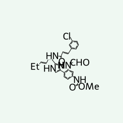 CC/C=C/C[C@H](NC(=O)/C=C/c1cccc(Cl)c1)c1nc(-c2ccc(NC(=O)OC)cc2NC=O)c[nH]1